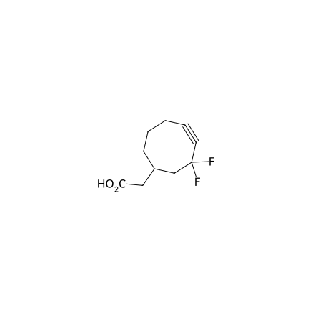 O=C(O)CC1CCCC#CC(F)(F)C1